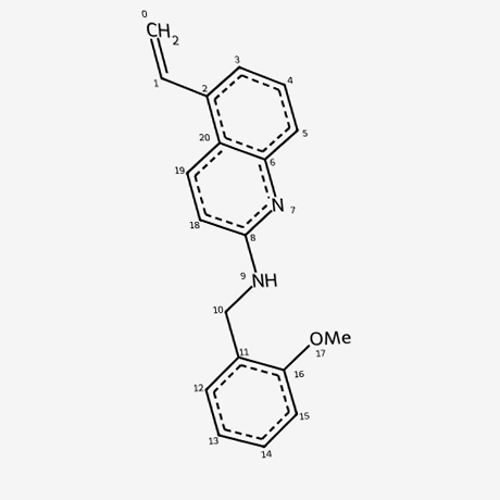 C=Cc1cccc2nc(NCc3ccccc3OC)ccc12